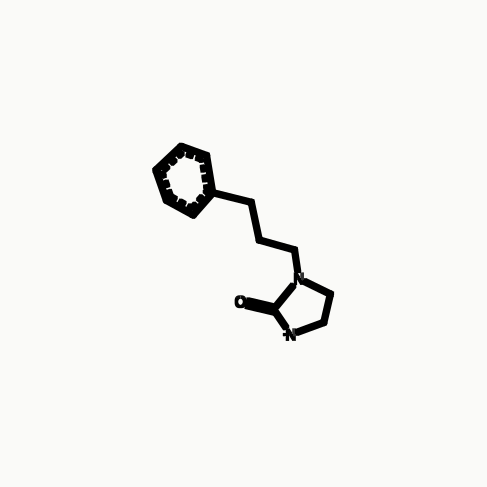 O=C1[N]CCN1CCCc1ccccc1